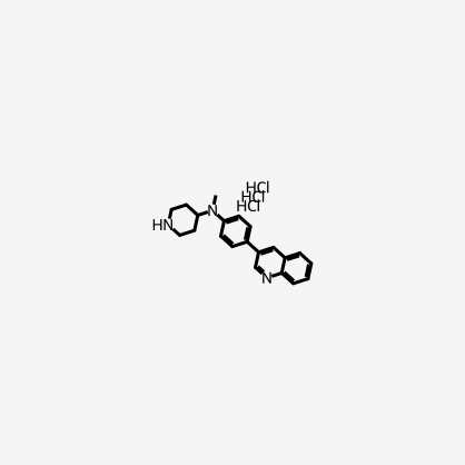 CN(c1ccc(-c2cnc3ccccc3c2)cc1)C1CCNCC1.Cl.Cl.Cl